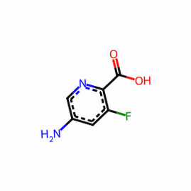 Nc1cnc(C(=O)O)c(F)c1